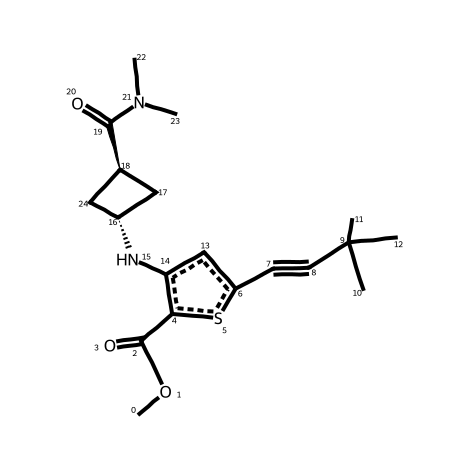 COC(=O)c1sc(C#CC(C)(C)C)cc1N[C@H]1C[C@H](C(=O)N(C)C)C1